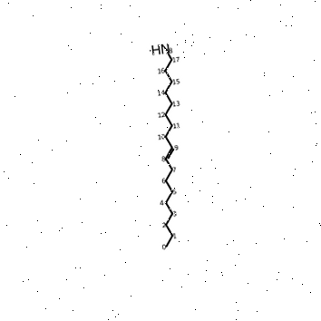 CCCCCCCC/C=C/CCCCCCCC[NH]